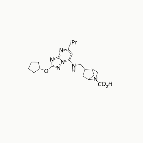 CC(C)c1cc(NCC2CC3CC2CN3C(=O)O)n2nc(OC3CCCC3)nc2n1